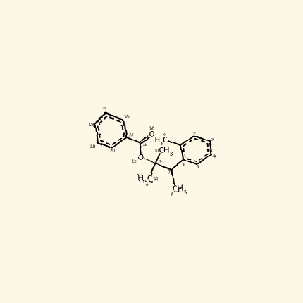 Cc1ccccc1C(C)C(C)(C)OC(=O)c1ccccc1